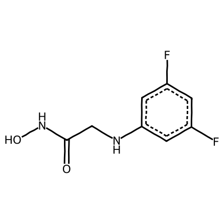 O=C(CNc1cc(F)cc(F)c1)NO